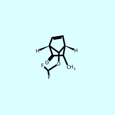 CC1C(=O)[C@@H]2C=C[C@H]1C2OC(F)F